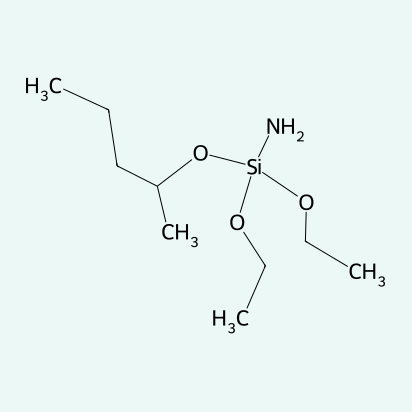 CCCC(C)O[Si](N)(OCC)OCC